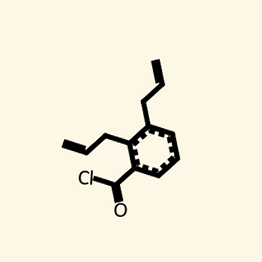 C=CCc1cccc(C(=O)Cl)c1CC=C